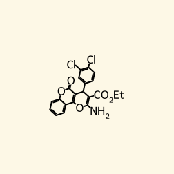 CCOC(=O)C1=C(N)Oc2c(c(=O)oc3ccccc23)C1c1ccc(Cl)c(Cl)c1